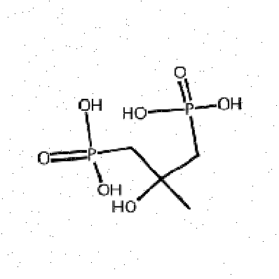 CC(O)(CP(=O)(O)O)CP(=O)(O)O